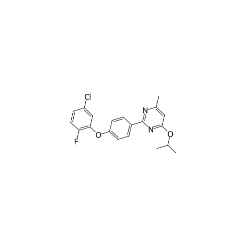 Cc1cc(OC(C)C)nc(-c2ccc(Oc3cc(Cl)ccc3F)cc2)n1